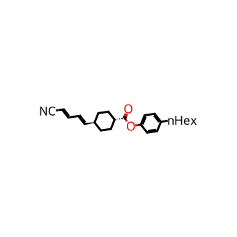 CCCCCCc1ccc(OC(=O)[C@H]2CC[C@H](C=CC=CC#N)CC2)cc1